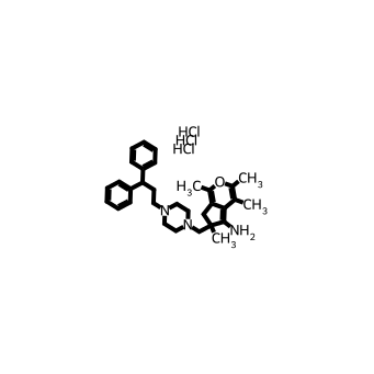 CC1=C(C)C2=C(N)C(C)(CN3CCN(CCC(c4ccccc4)c4ccccc4)CC3)CC2=C(C)O1.Cl.Cl.Cl